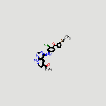 COC(=O)C1=Cc2c(ncnc2Nc2ccc(C(=O)c3cccc(SCC(F)(F)F)c3)c(Cl)c2)NCC1